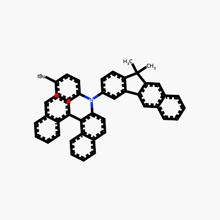 CC(C)(C)c1ccc(N(c2ccc3c(c2)-c2cc4ccccc4cc2C3(C)C)c2ccc3ccccc3c2-c2cccc3ccccc23)cc1